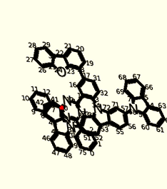 c1ccc(-c2nc(-c3ccccc3)nc(-c3cc(-c4cccc5c4oc4ccccc45)ccc3-n3c4cc(-n5c6ccccc6c6ccccc65)ccc4c4ccc(-n5c6ccccc6c6ccccc65)cc43)n2)cc1